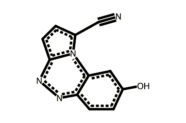 N#Cc1ccc2nnc3ccc(O)cc3n12